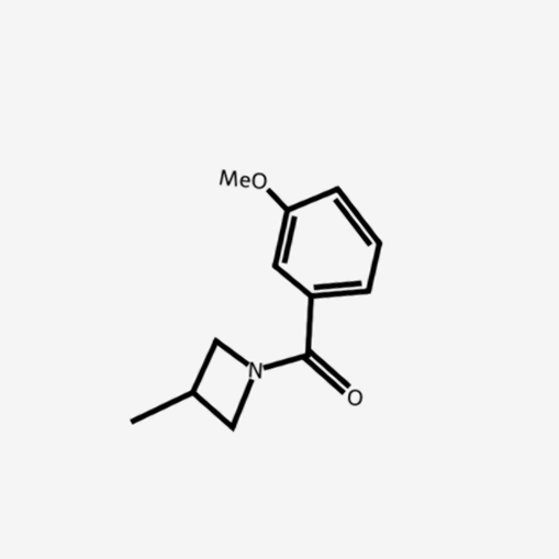 COc1cccc(C(=O)N2CC(C)C2)c1